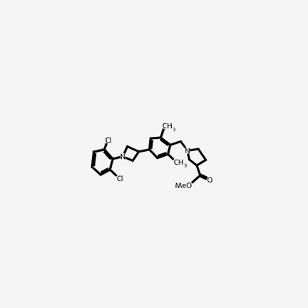 COC(=O)C1CCN(Cc2c(C)cc(C3CN(c4c(Cl)cccc4Cl)C3)cc2C)C1